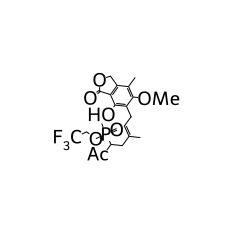 COc1c(C)c2c(c(O)c1C/C=C(\C)CC(C(C)=O)P(C)(=O)OCC(F)(F)F)C(=O)OC2